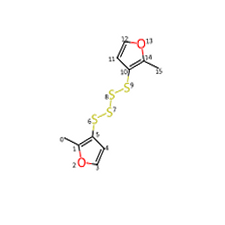 Cc1occc1SSSSc1ccoc1C